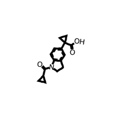 O=C(C1CC1)N1CCc2cc(C3(C(=O)O)CC3)ccc21